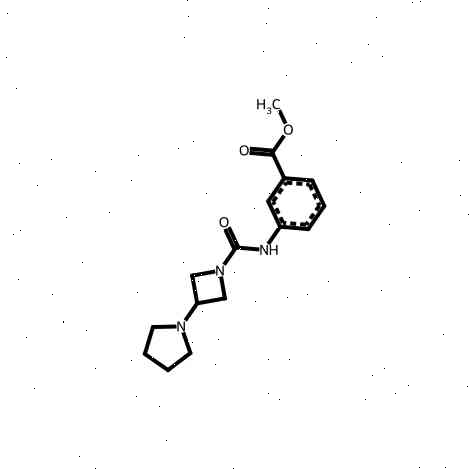 COC(=O)c1cccc(NC(=O)N2CC(N3CCCC3)C2)c1